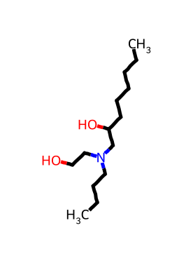 CCCCCCC(O)CN(CCO)CCCC